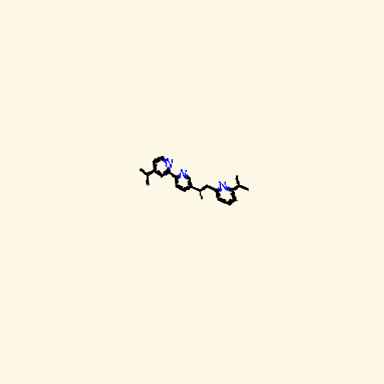 CC(C)c1ccnc(-c2ccc([C@H](C)Cc3cccc(C(C)C)n3)cn2)c1